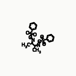 CC(=NOS(=O)(=O)c1ccccc1)C(C)=NOS(=O)(=O)c1ccccc1